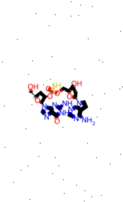 Nc1nc2c(ncn2[C@@H]2O[C@H](CO)C[C@H]2O[P@](=O)(S)OCC2O[C@@H](n3ccc4c(N)ncnc43)C[C@@H]2O)c(=O)[nH]1